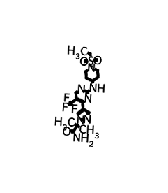 CCS(=O)(=O)N1CCC(Nc2ncc(C(F)(F)F)c(-c3cnn(C(C)(C)C(N)=O)c3)n2)CC1